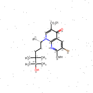 CCOC(=O)c1cn([C@H](CCC(C)(C)[Si](C)(C)O)C(C)C)c2nc(OC)c(Br)cc2c1=O